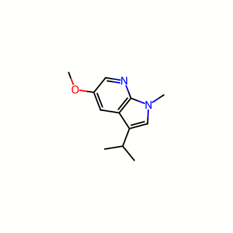 COc1cnc2c(c1)c(C(C)C)cn2C